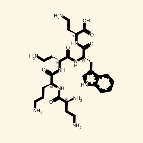 NCCC[C@H](NC(=O)[C@@H](N)CCN)C(=O)N[C@H](CCN)C(=O)N[C@@H](Cc1c[nH]c2ccccc12)C(=O)N[C@@H](CCN)C(=O)O